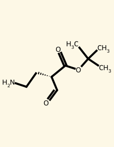 CC(C)(C)OC(=O)[C@H](C=O)CCN